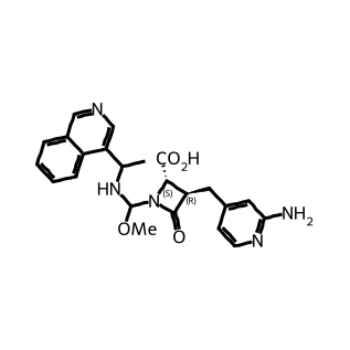 COC(NC(C)c1cncc2ccccc12)N1C(=O)[C@H](Cc2ccnc(N)c2)[C@H]1C(=O)O